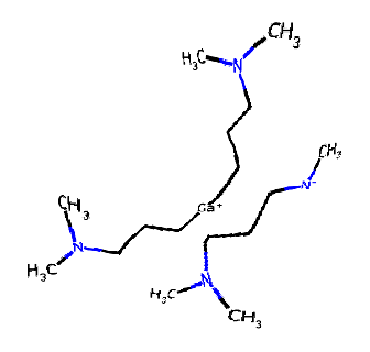 CN(C)CC[CH2][Ga+][CH2]CCN(C)C.C[N-]CCCN(C)C